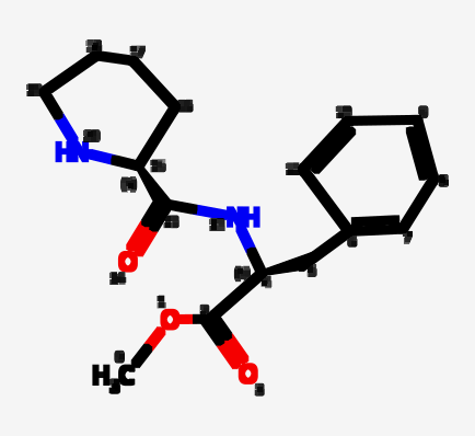 COC(=O)[C@H](Cc1ccccc1)NC(=O)[C@@H]1CCCCN1